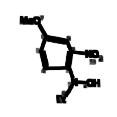 CCN(O)c1ccc(OC)cc1[N+](=O)[O-]